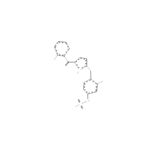 Cc1ccccc1C(=O)c1ccc(Cc2ccc(NS(C)(=O)=O)cc2F)n1C